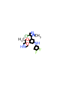 CC(Oc1ccc(Nc2ccc(F)c(F)c2)cc1-c1c(Cl)cnn1C)C1CNCCO1